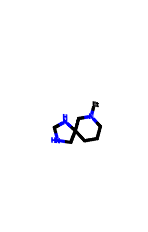 CCN1CCCC2(CNCN2)C1